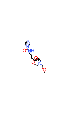 COCCN1CCO[SiH](CCCNC(=O)n2ccnc2)OCC1